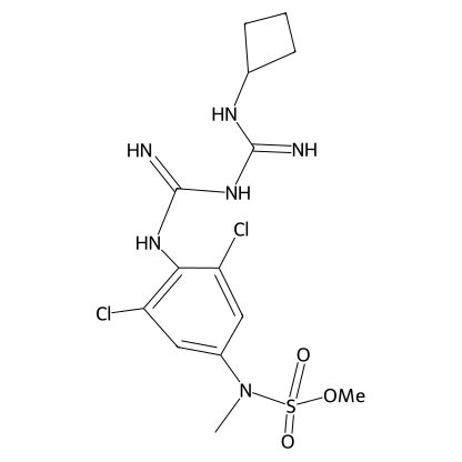 COS(=O)(=O)N(C)c1cc(Cl)c(NC(=N)NC(=N)NC2CCC2)c(Cl)c1